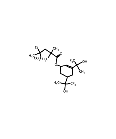 CCC(C)(CC(C)(C)C(=O)OC1C=C(C(C)(O)C(F)(F)F)CC(C(C)(O)C(F)(F)F)C1)C(=O)O